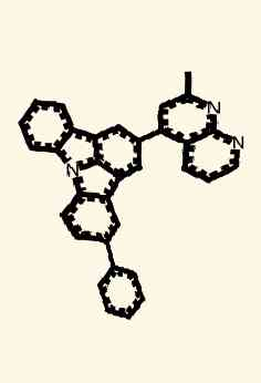 Cc1cc(-c2cc3c4ccccc4n4c5ccc(-c6ccccc6)cc5c(c2)c34)c2cccnc2n1